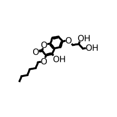 CCCCCCOc1c(O)c2cc(OCC(O)CO)ccc2oc1=O